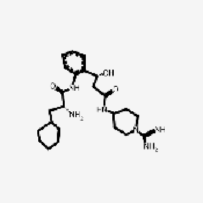 N=C(N)N1CCC(NC(=O)C[C@@H](O)c2ccccc2NC(=O)[C@H](N)CC2CCCCC2)CC1